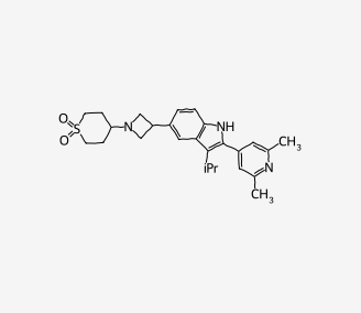 Cc1cc(-c2[nH]c3ccc(C4CN(C5CCS(=O)(=O)CC5)C4)cc3c2C(C)C)cc(C)n1